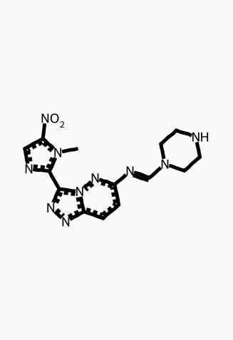 Cn1c([N+](=O)[O-])cnc1-c1nnc2ccc(N=CN3CCNCC3)nn12